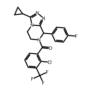 O=C(c1cccc(C(F)(F)F)c1Cl)N1CCn2c(C3CC3)nnc2C1c1ccc(F)cc1